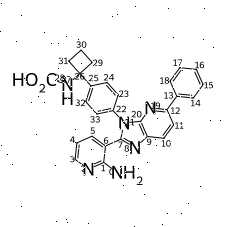 Nc1ncccc1-c1nc2ccc(-c3ccccc3)nc2n1-c1ccc(C2(NC(=O)O)CCC2)cc1